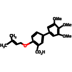 COc1cc(-c2ccc(OCC=C(C)C)c(C(=O)O)c2)cc(OC)c1OC